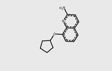 Nc1ccc2cccc(OC3CCCC3)c2n1